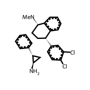 CN[C@H]1CC[C@@H](c2ccc(Cl)c(Cl)c2)c2ccccc21.N[C@@H]1C[C@H]1c1ccccc1